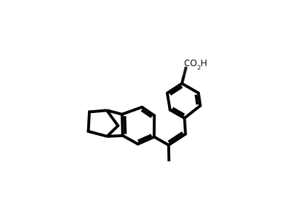 C/C(=C/c1ccc(C(=O)O)cc1)c1ccc2c(c1)C1CCC2C1